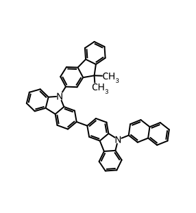 CC1(C)c2ccccc2-c2ccc(-n3c4ccccc4c4ccc(-c5ccc6c(c5)c5ccccc5n6-c5ccc6ccccc6c5)cc43)cc21